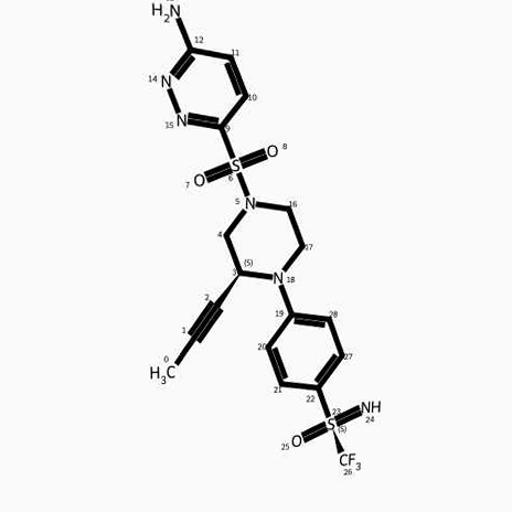 CC#C[C@H]1CN(S(=O)(=O)c2ccc(N)nn2)CCN1c1ccc([S@](=N)(=O)C(F)(F)F)cc1